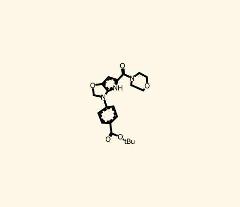 CC(C)(C)OC(=O)c1ccc(N2COc3cc(C(=O)N4CCOCC4)[nH]c32)cc1